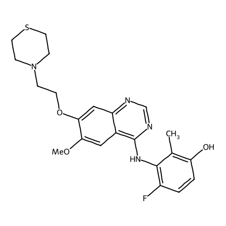 COc1cc2c(Nc3c(F)ccc(O)c3C)ncnc2cc1OCCN1CCSCC1